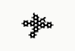 Cc1ccc(/C(CCN(C)C)=C(/B(c2ccc(-c3ccccc3)cc2)c2ccc(-c3ccccc3)cc2)c2ccc(-c3ccccc3)cc2)cc1